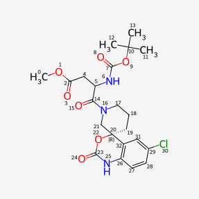 COC(=O)CC(NC(=O)OC(C)(C)C)C(=O)N1CCC[C@@]2(C1)OC(=O)Nc1ccc(Cl)cc12